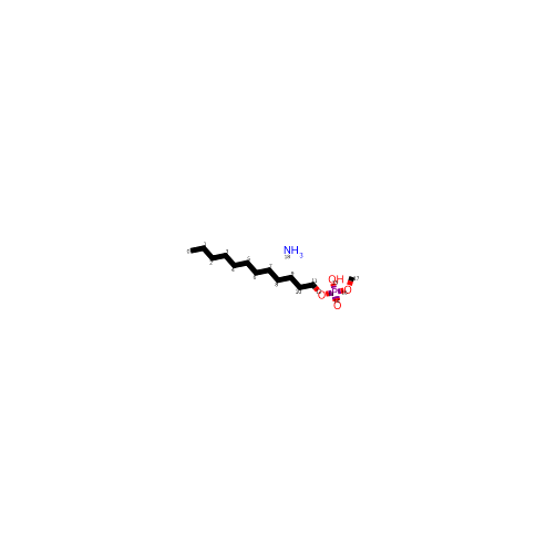 CCCCCCCCCCCCOP(=O)(O)OC.N